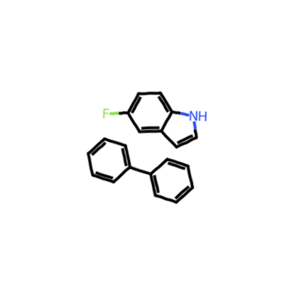 Fc1ccc2[nH]ccc2c1.c1ccc(-c2ccccc2)cc1